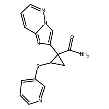 NC(=O)C1(c2cn3ncccc3n2)CC1Sc1cccnc1